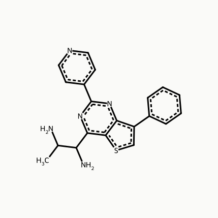 CC(N)C(N)c1nc(-c2ccncc2)nc2c(-c3ccccc3)csc12